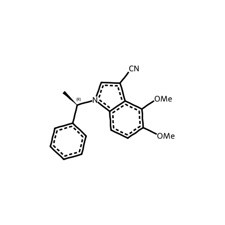 COc1ccc2c(c(C#N)cn2[C@H](C)c2ccccc2)c1OC